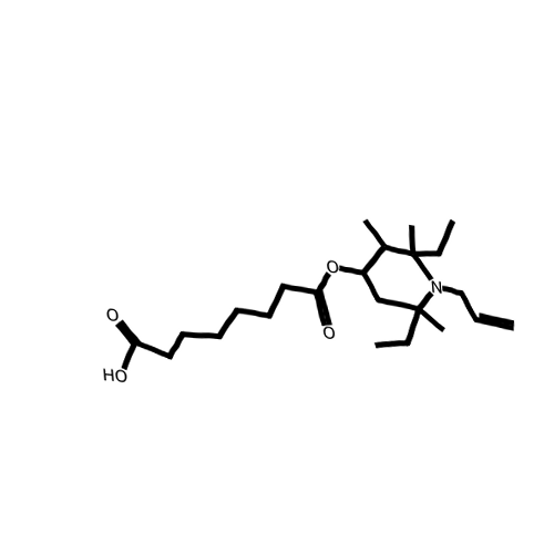 C=CCN1C(C)(CC)CC(OC(=O)CCCCCCC(=O)O)C(C)C1(C)CC